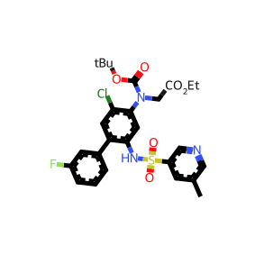 CCOC(=O)CN(C(=O)OC(C)(C)C)c1cc(NS(=O)(=O)c2cncc(C)c2)c(-c2cccc(F)c2)cc1Cl